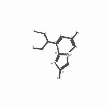 CCC(CC)c1cc(C)cn2cc(C)nc12